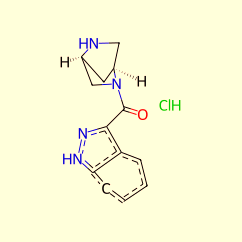 Cl.O=C(c1n[nH]c2ccccc12)N1C[C@@H]2C[C@H]1CN2